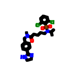 CC(C)N(CCCCC(=O)N(C)Cc1ccc(C2=NCCN2)cc1)S(=O)(=O)c1c(Cl)cccc1Cl